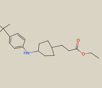 CCOC(=O)CCC1CCC(Nc2ccc(C(C)(C)C)cc2)CC1